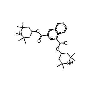 CC1(C)CC(OC(=O)c2cc(C(=O)OC3CC(C)(C)NC(C)(C)C3)c3ccccc3c2)CC(C)(C)N1